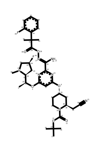 C[C@H](Oc1cc(O[C@H]2CCN(C(=O)OC(C)(C)C)[C@H](CC#N)C2)nc(C(N)=NOC(=O)C(C)(C)c2ccccc2F)n1)[C@@H]1C[C@H](F)CN1C